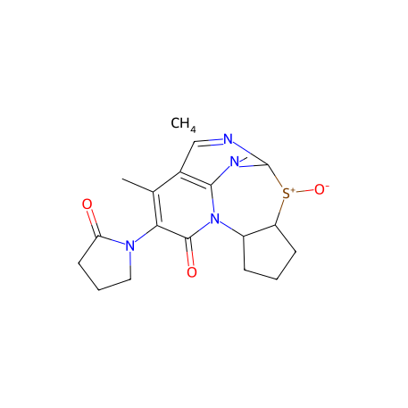 C.Cc1c(N2CCCC2=O)c(=O)n2c3nc(ncc13)[S+]([O-])C1CCCC12